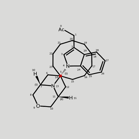 CC(=O)Cc1cn([C@H]2C[C@H]3COC[C@@H](C2)N3C2CCCCCCCCC2)c2ccccc12